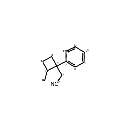 CC1CCC1(CC#N)c1ccccc1